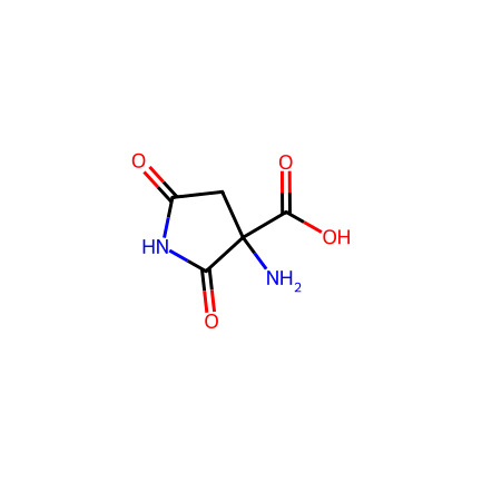 NC1(C(=O)O)CC(=O)NC1=O